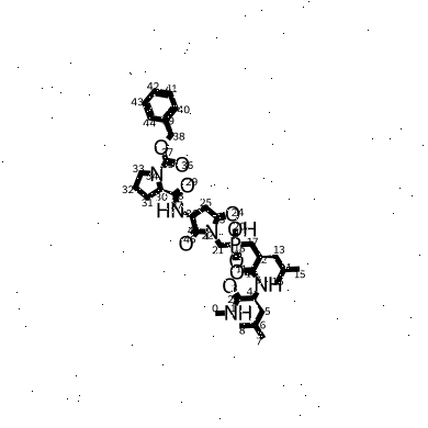 CNC(=O)[C@H](CC(C)C)NC(=O)[C@H](CC(C)C)CP(=O)(O)CN1C(=O)C[C@H](NC(=O)[C@H]2CCCN2C(=O)OCc2ccccc2)C1=O